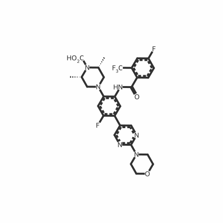 C[C@@H]1CN(c2cc(F)c(-c3cnc(N4CCOCC4)nc3)cc2NC(=O)c2ccc(F)cc2C(F)(F)F)C[C@H](C)N1C(=O)O